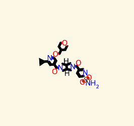 NS(=O)(=O)c1ccc(C(=O)N2C[C@H]3CN(C(=O)c4cc(OCC5CCOCC5)nc(C5CC5)c4)C[C@@H]3C2)cn1